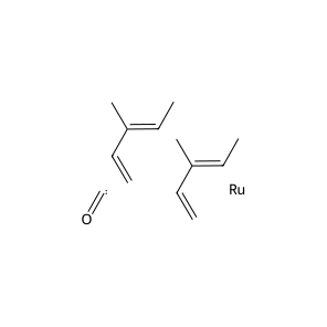 C=CC(C)=CC.C=CC(C)=CC.[C]=O.[Ru]